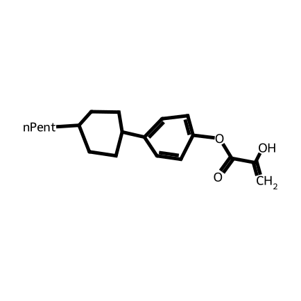 C=C(O)C(=O)Oc1ccc(C2CCC(CCCCC)CC2)cc1